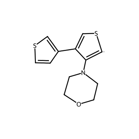 [c]1scc(-c2ccsc2)c1N1CCOCC1